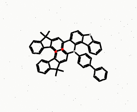 CC1(C)c2ccccc2-c2ccc(-c3ccc4sc5ccccc5c4c3N(c3ccc(-c4ccccc4)cc3)c3ccc4c(c3)C(C)(C)c3ccccc3-4)cc21